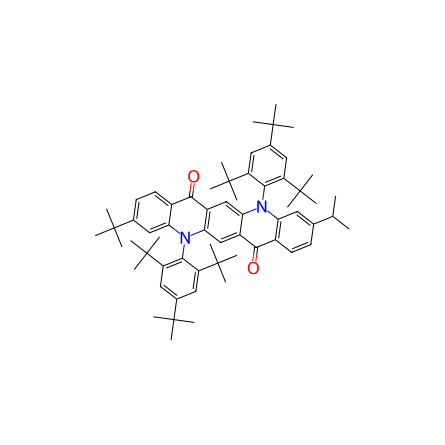 CC(C)c1ccc2c(=O)c3cc4c(cc3n(-c3c(C(C)(C)C)cc(C(C)(C)C)cc3C(C)(C)C)c2c1)c(=O)c1ccc(C(C)(C)C)cc1n4-c1c(C(C)(C)C)cc(C(C)(C)C)cc1C(C)(C)C